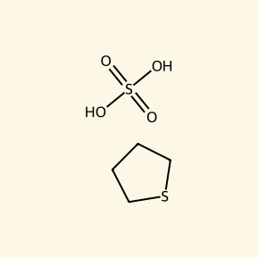 C1CCSC1.O=S(=O)(O)O